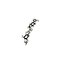 O=C(NCc1cc(F)cc(OC(F)F)c1)N1CCc2cc(-c3cn[nH]c3)c(F)cc21